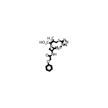 C/C(CSc1nnnn1C)=C(\C(=O)O)N1CC(NC(=O)COc2ccccc2)C1=O